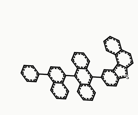 c1ccc(-c2ccc(-c3c4ccccc4c(-c4ccc5sc6ccc7ccccc7c6c5c4)c4ccccc34)c3ccccc23)cc1